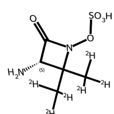 [2H]C([2H])([2H])C1(C([2H])([2H])[2H])[C@H](N)C(=O)N1OS(=O)(=O)O